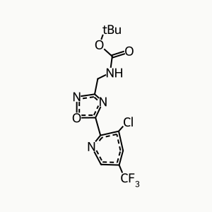 CC(C)(C)OC(=O)NCc1noc(-c2ncc(C(F)(F)F)cc2Cl)n1